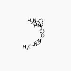 CCCN1CCN(CCOc2ccc(-c3cc4cccc(C(N)=O)c4[nH]3)cc2)CC1